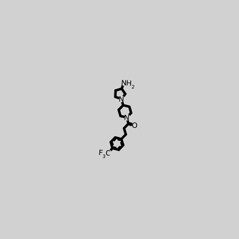 NC1CCN(C2CCN(C(=O)CCc3ccc(C(F)(F)F)cc3)CC2)C1